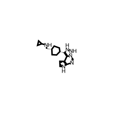 C1=Nc2[nH]ccc2C2=C([C@H]3CC[C@@H](CNC4CC4)CC3)NNN12